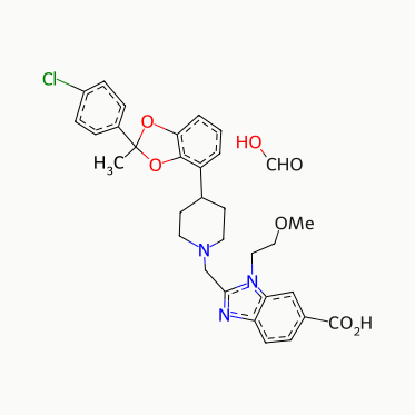 COCCn1c(CN2CCC(c3cccc4c3OC(C)(c3ccc(Cl)cc3)O4)CC2)nc2ccc(C(=O)O)cc21.O=CO